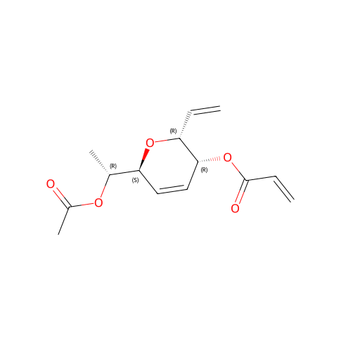 C=CC(=O)O[C@@H]1C=C[C@@H]([C@@H](C)OC(C)=O)O[C@@H]1C=C